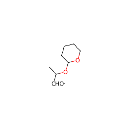 CC([C]=O)OC1CCCCO1